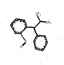 CC(C)C(c1[c]cccc1)c1ccccc1P=O